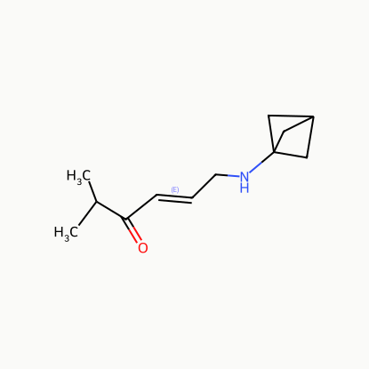 CC(C)C(=O)/C=C/CNC12CC(C1)C2